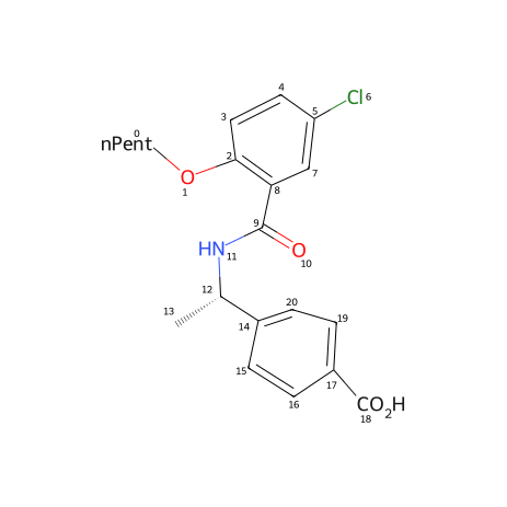 CCCCCOc1ccc(Cl)cc1C(=O)N[C@@H](C)c1ccc(C(=O)O)cc1